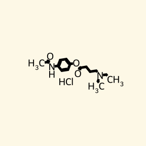 CCN(CC)CCCC(=O)Oc1ccc(NC(C)=O)cc1.Cl